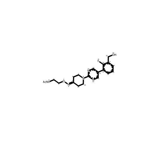 CC(=O)NCCON=C1CCN(c2ncc(-c3cccc(CO)c3F)cn2)CC1